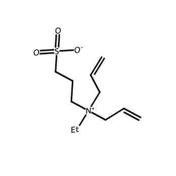 C=CC[N+](CC)(CC=C)CCCS(=O)(=O)[O-]